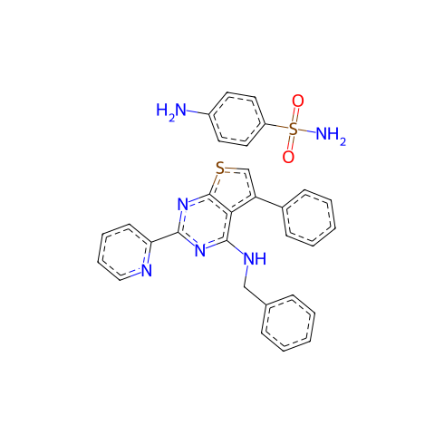 Nc1ccc(S(N)(=O)=O)cc1.c1ccc(CNc2nc(-c3ccccn3)nc3scc(-c4ccccc4)c23)cc1